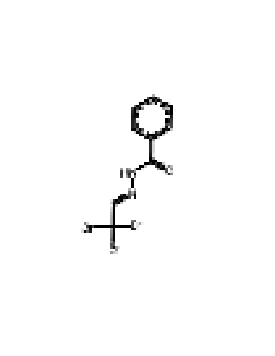 O=C(N/N=C/C(Br)(Br)Br)c1ccccc1